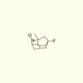 CC12CC3CC(CC(F)(C3)C1)N2[O]